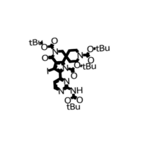 CC(C)(C)OC(=O)Nc1nccc(-c2c(I)c3c(n2C(=O)OC(C)(C)C)C2(CCN(C(=O)OC(C)(C)C)CC2)CN(C(=O)OC(C)(C)C)C3=O)n1